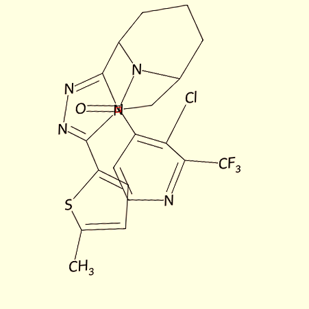 Cc1ccc(-c2nnc3n2CC2CCCC3N2C(=O)c2ccnc(C(F)(F)F)c2Cl)s1